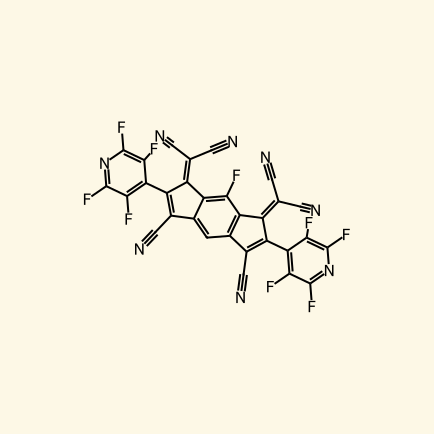 N#CC(C#N)=C1C(c2c(F)c(F)nc(F)c2F)=C(C#N)c2cc3c(c(F)c21)C(=C(C#N)C#N)C(c1c(F)c(F)nc(F)c1F)=C3C#N